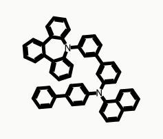 c1ccc(-c2ccc(N(c3cccc(-c4cccc(N5c6ccccc6-c6ccccc6-c6ccccc65)c4)c3)c3cccc4ccccc34)cc2)cc1